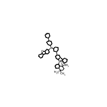 CC1(C)CCC(C)(C)c2c(-n3c4ccccc4c4cc(-c5cccc(N(c6ccc(-c7ccccc7)cc6)c6ccc7c(c6)oc6ccccc67)c5)ccc43)cccc21